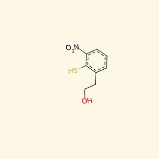 O=[N+]([O-])c1cccc(CCO)c1S